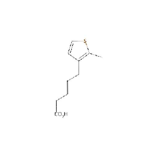 Cc1sccc1CCCCC(=O)O